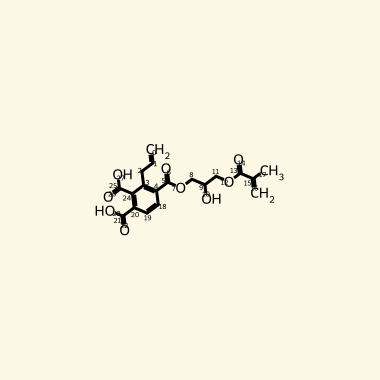 C=CCc1c(C(=O)OCC(O)COC(=O)C(=C)C)ccc(C(=O)O)c1C(=O)O